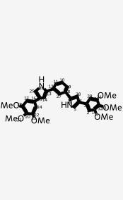 COc1cc(-c2c[nH]c(-c3cccc(-c4cc(-c5cc(OC)c(OC)c(OC)c5)c[nH]4)c3)c2)cc(OC)c1OC